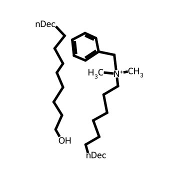 CCCCCCCCCCCCCCCCCCO.CCCCCCCCCCCCCCCC[N+](C)(C)Cc1ccccc1